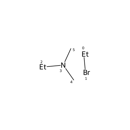 CCBr.CCN(C)C